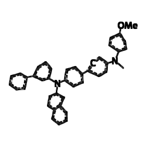 COc1ccc(N(C)c2ccc(-c3ccc(N(c4cccc(-c5ccccc5)c4)c4ccc5ccccc5c4)cc3)cc2)cc1